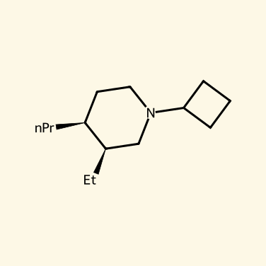 CCC[C@H]1CCN(C2CCC2)C[C@H]1CC